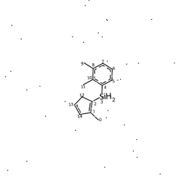 CC1=C([SiH2]c2cccc(C)c2C)CC=C1